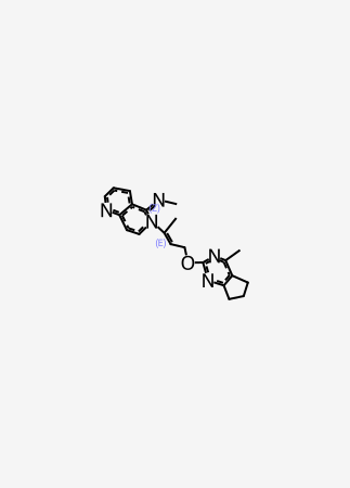 C/N=c1/c2cccnc2ccn1/C(C)=C/COc1nc(C)c2c(n1)CCC2